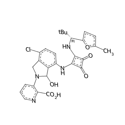 Cc1ccc([C@H](Nc2c(Nc3ccc(Cl)c4c3C(O)N(c3cccnc3C(=O)O)C4)c(=O)c2=O)C(C)(C)C)o1